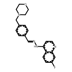 Fc1ccc2c(NN=Cc3ccc(CN4CCOCC4)cc3)ccnc2c1